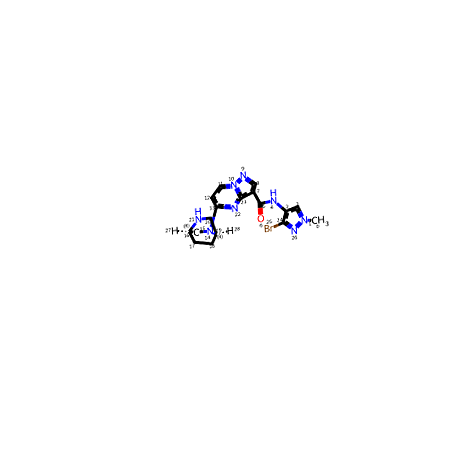 Cn1cc(NC(=O)c2cnn3ccc(N4C[C@H]5CC[C@@H]4CN5)nc23)c(Br)n1